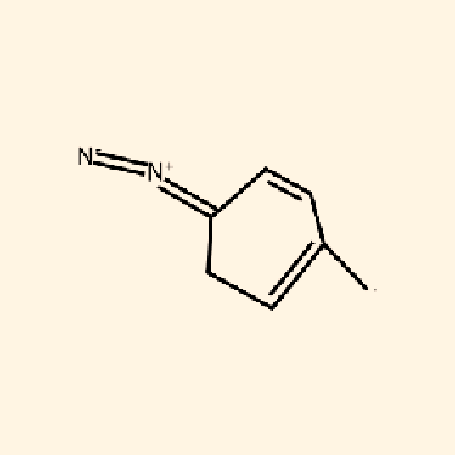 [CH2]C1=CCC(=[N+]=[N-])C=C1